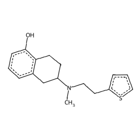 CN(CCc1cccs1)C1CCc2c(O)cccc2C1